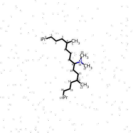 CC(C)CCCC(C)CCCC(CCC(C)CCCC(C)C)N(C)C